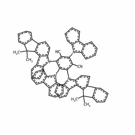 CC1(C)c2ccccc2-c2ccc3c(c21)c1ccccc1n3-c1c(C#N)c(-n2c3ccccc3c3ccccc32)c(C#N)c(-n2c3ccccc3c3c4c(ccc32)-c2ccccc2C4(C)C)c1-n1c2ccccc2c2ccccc21